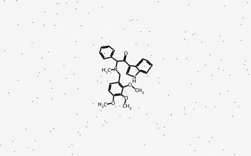 COc1ccc(CN(C)C(C(=O)c2c[nH]c3ccccc23)c2ccccc2)c(OC)c1OC